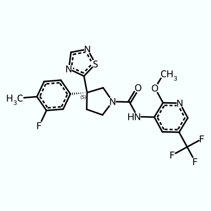 COc1ncc(C(F)(F)F)cc1NC(=O)N1CC[C@@](c2ccc(C)c(F)c2)(c2ncns2)C1